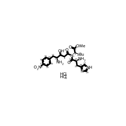 CC[C@H](C)[C@@H](C(=O)OC)N(C(=O)CC(O)[C@@H](N)Cc1ccc([N+](=O)[O-])cc1)C(=O)[C@@H](N)Cc1c[nH]cn1.Cl.Cl